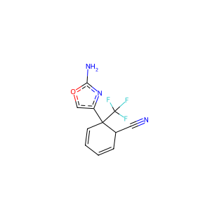 N#CC1C=CC=CC1(c1coc(N)n1)C(F)(F)F